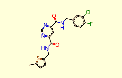 Cc1ccc(CNC(=O)c2cc(C(=O)NCc3ccc(F)c(Cl)c3)ncn2)s1